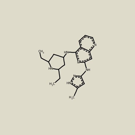 CCC1CC(Nc2nc(Nc3cc(C)[nH]n3)cc3ncccc23)CC(CC)N1